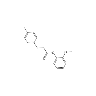 COc1ccccc1OC(=O)CCc1ccc(C)cc1